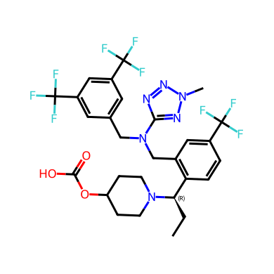 CC[C@H](c1ccc(C(F)(F)F)cc1CN(Cc1cc(C(F)(F)F)cc(C(F)(F)F)c1)c1nnn(C)n1)N1CCC(OC(=O)O)CC1